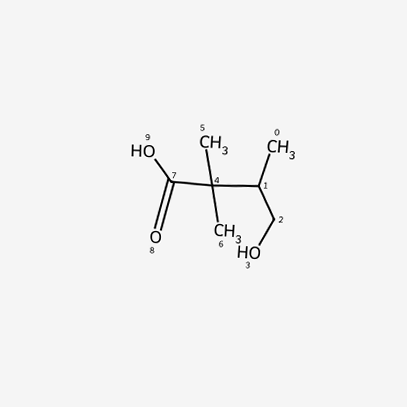 CC(CO)C(C)(C)C(=O)O